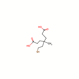 CC(CCS)(CCC(=O)O)CCC(=O)O